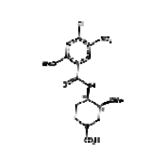 COc1cc(Cl)c([N+](=O)[O-])cc1C(=O)N[C@@H]1CCN(C(=O)O)C[C@@H]1OC